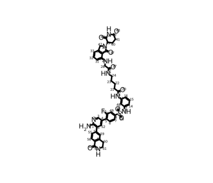 Nc1ncc(-c2ccc(S(=O)(=O)Nc3cccc(NC(=O)CCCCNC(=O)CNc4cccc5c4C(=O)N(C4CCC(=O)NC4=O)C5)c3)cc2F)cc1-c1ccc2c(c1)CCNC2=O